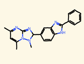 CC1=CC(C)=NC2=NC(c3ccc4[nH]c(-c5ccccc5)nc4c3)N(C)N12